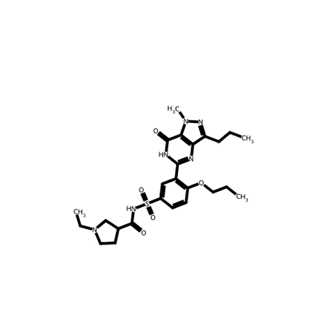 CCCOc1ccc(S(=O)(=O)NC(=O)C2CCN(CC)C2)cc1-c1nc2c(CCC)nn(C)c2c(=O)[nH]1